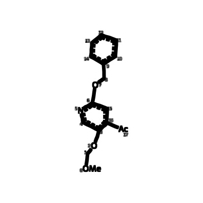 COCOc1cnc(OCc2ccccc2)cc1C(C)=O